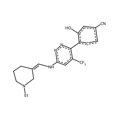 CCN1CCC/C(=C/Nc2cc(C(F)(F)F)c(-c3ccc(C#N)cc3O)nn2)C1